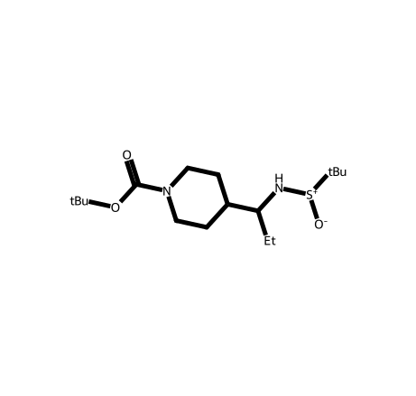 CCC(N[S+]([O-])C(C)(C)C)C1CCN(C(=O)OC(C)(C)C)CC1